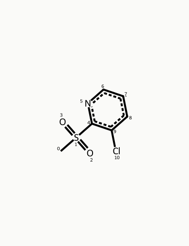 CS(=O)(=O)c1nc[c]cc1Cl